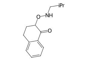 CC(C)CNOC1CCc2ccccc2C1=O